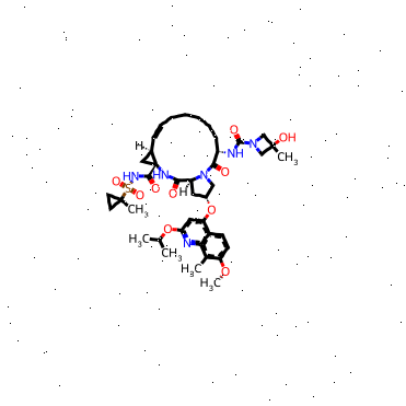 COc1ccc2c(O[C@@H]3C[C@H]4C(=O)N[C@]5(C(=O)NS(=O)(=O)C6(C)CC6)C[C@H]5C=CCCCCC[C@H](NC(=O)N5CC(C)(O)C5)C(=O)N4C3)cc(OC(C)C)nc2c1C